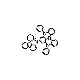 CC12CCCCC1(c1ccccc1)c1ccccc1N2c1cc2c3c(c1)N(c1ccccc1)c1ccccc1B3c1ccccc1N2c1ccccc1